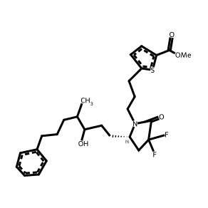 COC(=O)c1ccc(CCCN2C(=O)C(F)(F)C[C@@H]2CCC(O)C(C)CCCc2ccccc2)s1